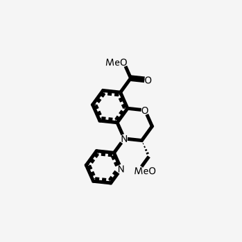 COC[C@H]1COc2c(C(=O)OC)cccc2N1c1ccccn1